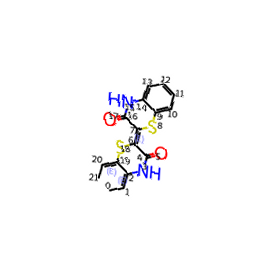 C/C=C1/NC(=O)/C(=C2\Sc3ccccc3NC2=O)S/C1=C/C